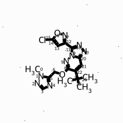 Cn1ncnc1COc1nn2c(-c3cc(Cl)on3)nnc2cc1C(C)(C)C